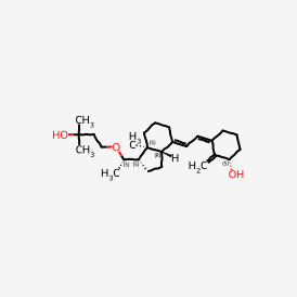 C=C1C(=CC=C2CCC[C@]3(C)[C@@H]([C@H](C)OCCC(C)(C)O)CC[C@@H]23)CCC[C@@H]1O